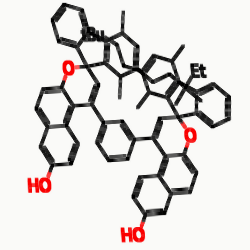 CCC(C)(C)CCC1=CC(C)C2=C(C1C)C1(C=C(c3cccc(C4=CC5(Oc6ccc7cc(O)ccc7c64)C4=C(c6ccccc65)C(C)C=C(CCC(C)(C)C)C4C)c3)c3c(ccc4cc(O)ccc34)O1)c1ccccc12